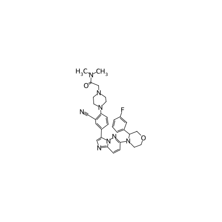 CN(C)C(=O)CN1CCN(c2ccc(-c3cnc4ccc(N5CCOCC5c5cccc(F)c5)nn34)cc2C#N)CC1